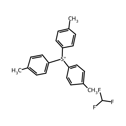 Cc1ccc([S+](c2ccc(C)cc2)c2ccc(C)cc2)cc1.FC(F)F